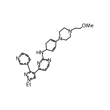 CCn1cc(-c2ccnc(NC3C=CC(N4CCN(CCOC)CC4)=CC3)n2)c(-c2cccnc2)n1